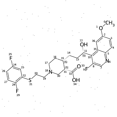 COc1ccc2ncc(F)c([C@@H](O)CC[C@H]3CCN(CCSc4cc(F)ccc4F)C[C@H]3C(=O)O)c2c1